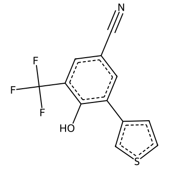 N#Cc1cc(-c2ccsc2)c(O)c(C(F)(F)F)c1